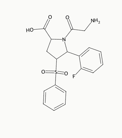 NCC(=O)N1C(C(=O)O)CC(S(=O)(=O)c2ccccc2)C1c1ccccc1F